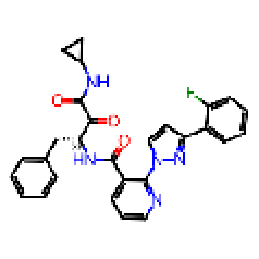 O=C(NC1CC1)C(=O)[C@@H](Cc1ccccc1)NC(=O)c1cccnc1-n1ccc(-c2ccccc2F)n1